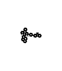 CC1(C)c2ccccc2-c2ccc(-c3ccc(-c4cc(-c5ccccc5-c5cccnc5)nc(-c5ccc6ccc7cccc8ccc5c6c78)n4)cc3)cc21